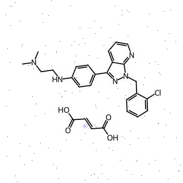 CN(C)CCNc1ccc(-c2nn(Cc3ccccc3Cl)c3ncccc23)cc1.O=C(O)/C=C/C(=O)O